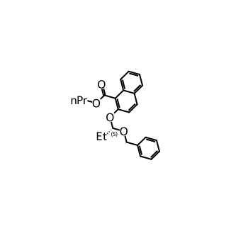 CCCOC(=O)c1c(O[C@@H](CC)OCc2ccccc2)ccc2ccccc12